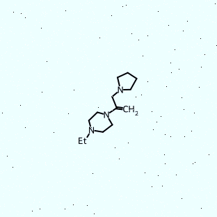 C=C(CN1CCCC1)N1CCN(CC)CC1